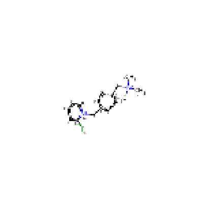 C[N+](C)(C)Cc1ccc(C[n+]2ccccc2F)cc1